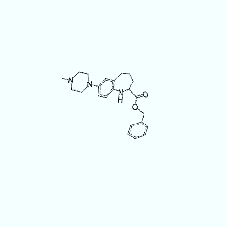 CN1CCN(c2ccc3c(c2)CCCC(C(=O)OCc2ccccc2)N3)CC1